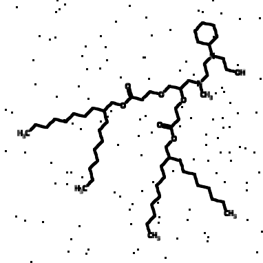 CCCCCCCCC(CCCCCCCC)COC(=O)CCOCC(CN(C)CCN(CCO)C1CCCCC1)OCCC(=O)OCC(CCCCCCCC)CCCCCCCC